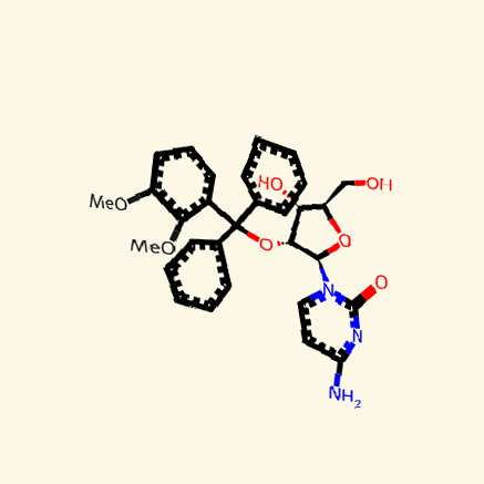 COc1cccc(C(O[C@@H]2[C@H](O)[C@@H](CO)O[C@H]2n2ccc(N)nc2=O)(c2ccccc2)c2ccccc2)c1OC